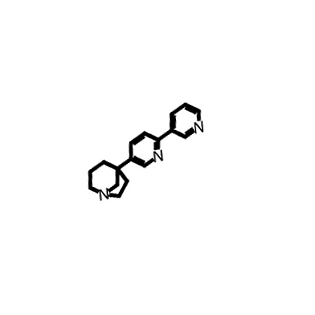 c1cncc(-c2ccc(C34CCCN(CC3)C4)cn2)c1